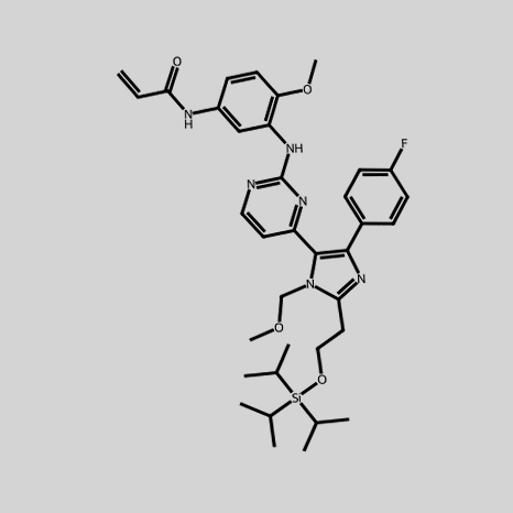 C=CC(=O)Nc1ccc(OC)c(Nc2nccc(-c3c(-c4ccc(F)cc4)nc(CCO[Si](C(C)C)(C(C)C)C(C)C)n3COC)n2)c1